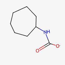 [O]C(=O)NC1CCCCCC1